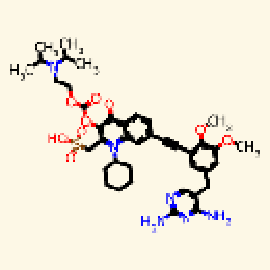 COc1cc(Cc2cnc(N)nc2N)cc(C#Cc2ccc3c(=O)c(OC(=O)OCCN(C(C)C)C(C)C)c(CS(=O)(=O)O)n(C4CCCCC4)c3c2)c1OC